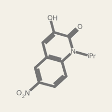 CC(C)n1c(=O)c(O)cc2cc([N+](=O)[O-])ccc21